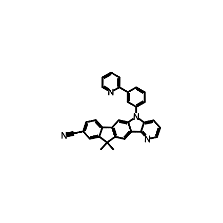 CC1(C)c2cc(C#N)ccc2-c2cc3c(cc21)c1ncccc1n3-c1cccc(-c2ccccn2)c1